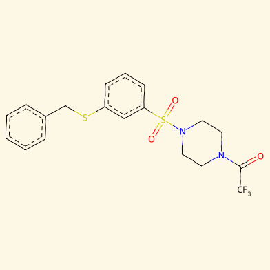 O=C(N1CCN(S(=O)(=O)c2cccc(SCc3ccccc3)c2)CC1)C(F)(F)F